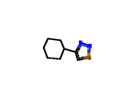 c1snnc1C1CCCCC1